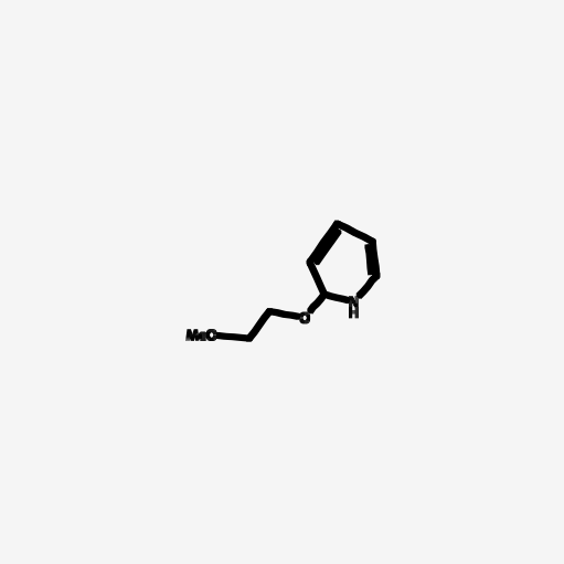 COCCO[C]1C=CC=CN1